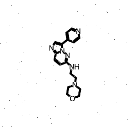 c1cc(-c2cnc3ccc(NCCN4CCOCC4)nn23)ccn1